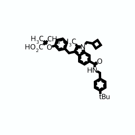 Cc1c(Cc2cccc(OC(C)(C)C(=O)O)c2)c2ccc(C(=O)NCc3ccc(C(C)(C)C)cc3)cc2n1CC1CCC1